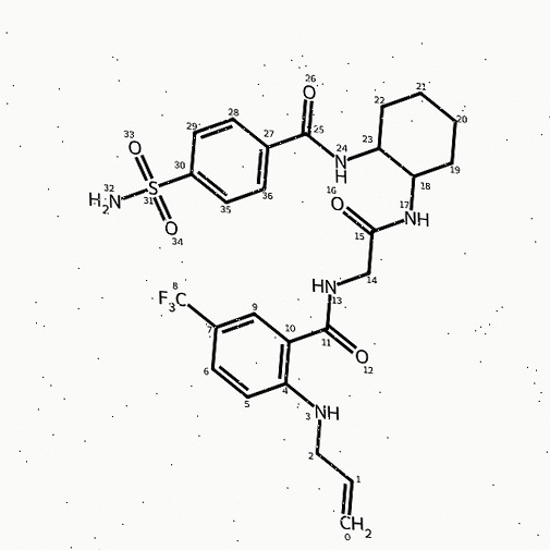 C=CCNc1ccc(C(F)(F)F)cc1C(=O)NCC(=O)NC1CCCCC1NC(=O)c1ccc(S(N)(=O)=O)cc1